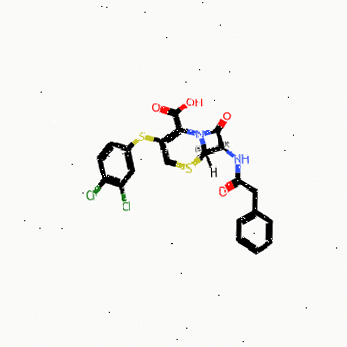 O=C(Cc1ccccc1)N[C@@H]1C(=O)N2C(C(=O)O)=C(Sc3ccc(Cl)c(Cl)c3)CS[C@@H]12